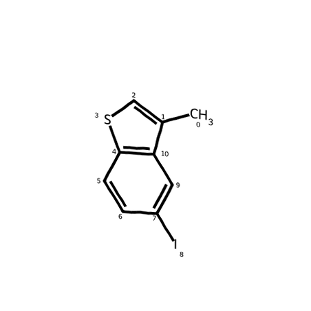 Cc1csc2ccc(I)cc12